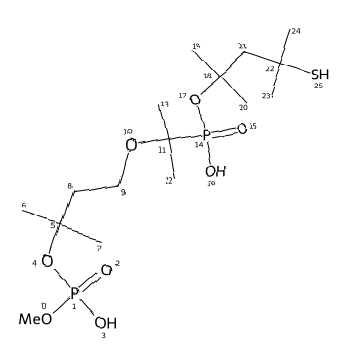 COP(=O)(O)OC(C)(C)CCOC(C)(C)P(=O)(O)OC(C)(C)CC(C)(C)S